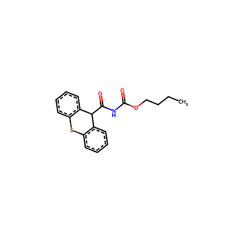 CCCCOC(=O)NC(=O)C1c2ccccc2Sc2ccccc21